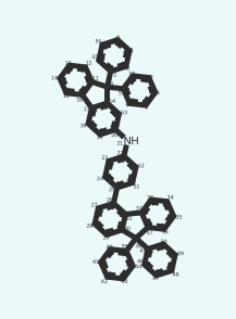 c1ccc(C2(c3ccccc3)c3ccccc3-c3ccc(Nc4ccc(-c5cccc6c5-c5ccccc5C6(c5ccccc5)c5ccccc5)cc4)cc32)cc1